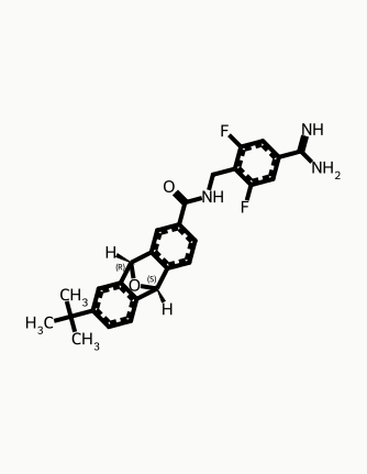 CC(C)(C)c1ccc2c(c1)[C@H]1O[C@@H]2c2ccc(C(=O)NCc3c(F)cc(C(=N)N)cc3F)cc21